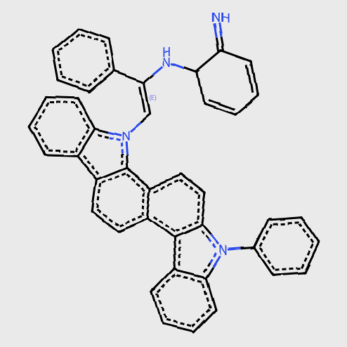 N=C1C=CC=CC1N/C(=C/n1c2ccccc2c2ccc3c(ccc4c3c3ccccc3n4-c3ccccc3)c21)c1ccccc1